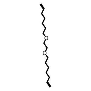 C=CCCCCCOCCOCCCCCC=C